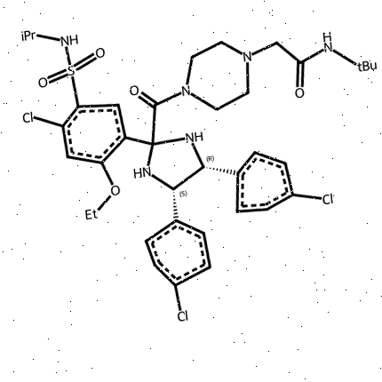 CCOc1cc(Cl)c(S(=O)(=O)NC(C)C)cc1C1(C(=O)N2CCN(CC(=O)NC(C)(C)C)CC2)N[C@H](c2ccc(Cl)cc2)[C@H](c2ccc(Cl)cc2)N1